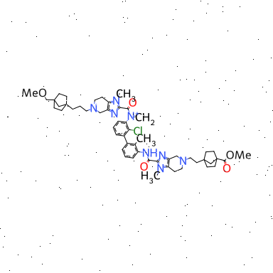 C=[N+](C(=O)c1nc2c(n1C)CCN(CCCC13CCC(COC)(CC1)C3)C2)c1cccc(-c2cccc(NC(=O)c3nc4c(n3C)CCN(CCC35CCC(C(=O)OC)(CC3)C5)C4)c2C)c1Cl